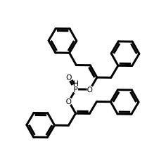 O=[PH](O/C(=C\Cc1ccccc1)Cc1ccccc1)O/C(=C\Cc1ccccc1)Cc1ccccc1